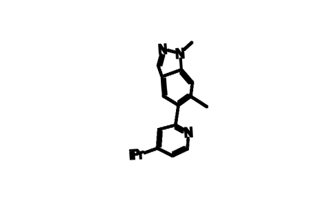 Cc1cc2c(cnn2C)cc1-c1cc(C(C)C)ccn1